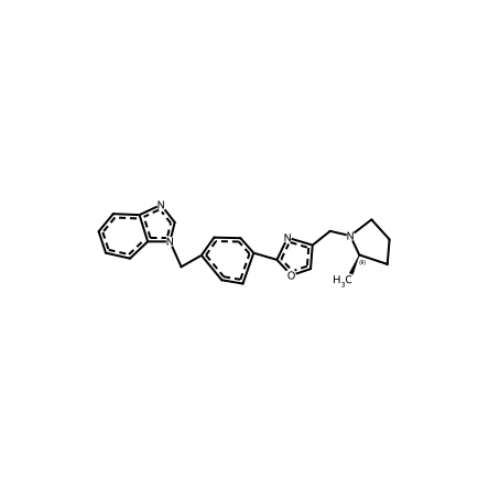 C[C@@H]1CCCN1Cc1coc(-c2ccc(Cn3cnc4ccccc43)cc2)n1